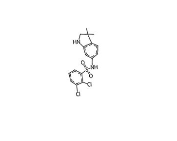 CC1(C)CNc2cc(NS(=O)(=O)c3cccc(Cl)c3Cl)ccc21